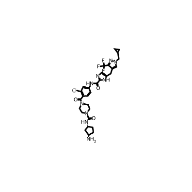 N[C@@H]1CC[C@@H](NC(=O)N2CCN(C(=O)c3ccc(NC(=O)c4ncc(Cc5cn(CC6CC6)nc5C(F)(F)F)[nH]4)cc3Cl)CC2)C1